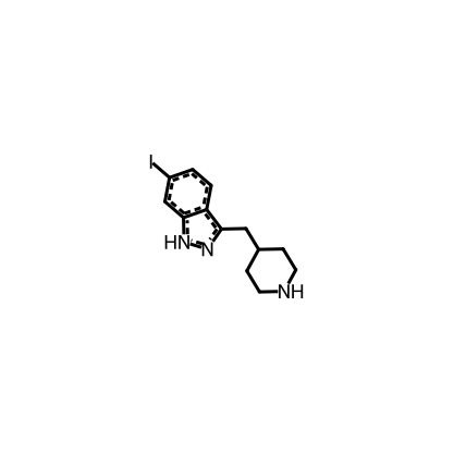 Ic1ccc2c(CC3CCNCC3)n[nH]c2c1